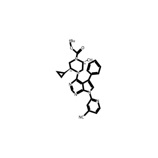 C[C@@H]1CN(c2ncnc3c2c(-c2ccccc2)cn3-c2cc(C#N)ccn2)[C@@H](C2CC2)CN1C(=O)OC(C)(C)C